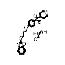 O=CNO.O=S(=O)(c1ccc(OCCCSc2nc3ccccc3o2)cc1)C1CCOCC1